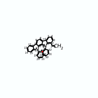 C=Cc1cccc2c3ccc4c5ccccc5n(-c5ccccn5)c4c3n(-c3ccccc3)c12